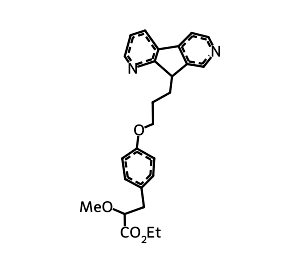 CCOC(=O)C(Cc1ccc(OCCCC2c3cnccc3-c3cccnc32)cc1)OC